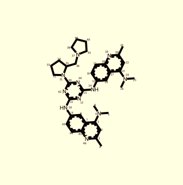 Cc1cc(N(C)C)c2cc(Nc3nc(Nc4ccc5nc(C)cc(N(C)C)c5c4)nc(N4CCCC4CN4CCCC4)n3)ccc2n1